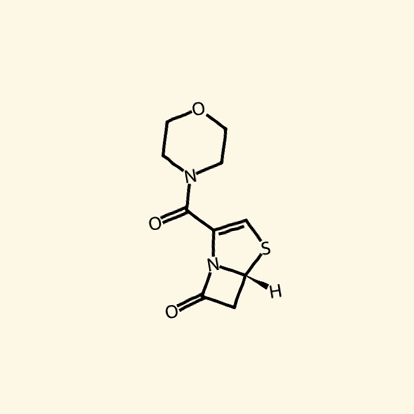 O=C(C1=CS[C@@H]2CC(=O)N12)N1CCOCC1